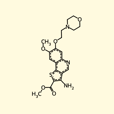 COC(=O)c1sc2c(cnc3cc(OCCN4CCOCC4)c(OC)cc32)c1N